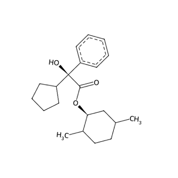 CC1CCC(C)[C@@H](OC(=O)[C@@](O)(c2ccccc2)C2CCCC2)C1